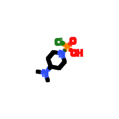 CN(C)C1CCN(P(=O)(O)Cl)CC1